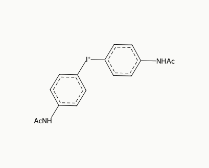 CC(=O)Nc1ccc([I+]c2ccc(NC(C)=O)cc2)cc1